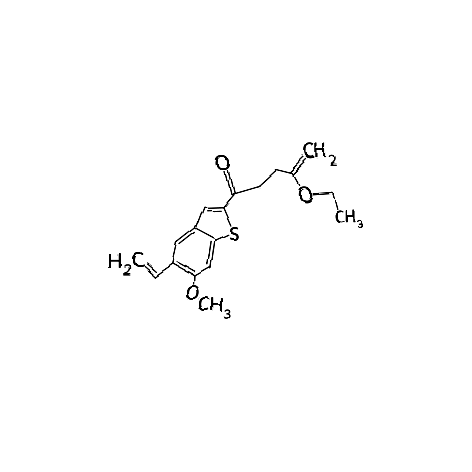 C=Cc1cc2cc(C(=O)CCC(=C)OCC)sc2cc1OC